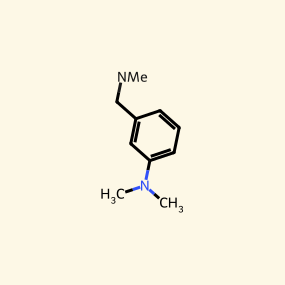 CNCc1cccc(N(C)C)c1